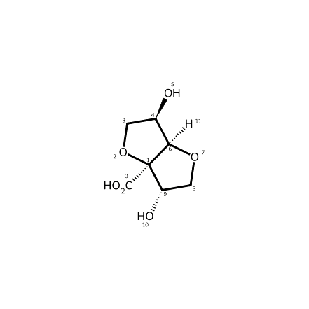 O=C(O)[C@]12OC[C@@H](O)[C@H]1OC[C@@H]2O